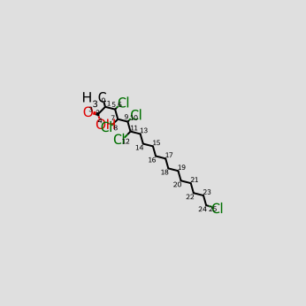 CC(C(=O)O)C(Cl)C(Cl)C(Cl)C(Cl)CCCCCCCCCCCCCl